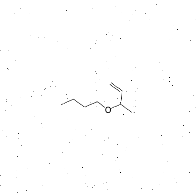 [CH2]C(C=C)OCCCC